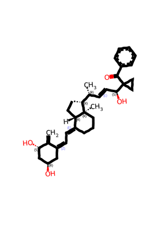 C=C1/C(=C\C=C2/CCC[C@]3(C)[C@@H]([C@H](C)/C=C/[C@H](O)C4(C(=O)c5ccccc5)CC4)CC[C@@H]23)C[C@@H](O)C[C@@H]1O